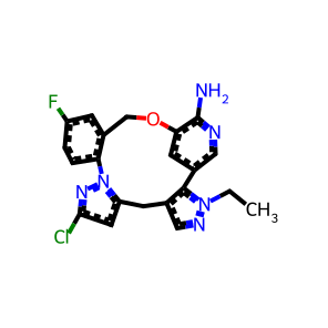 CCn1ncc2c1-c1cnc(N)c(c1)OCc1cc(F)ccc1-n1nc(Cl)cc1C2